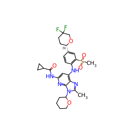 Cc1nc2c(Nc3ccc([C@@H]4CCC(F)(F)CO4)cc3S(C)(=O)=O)cc(NC(=O)C3CC3)nc2n1C1CCCCO1